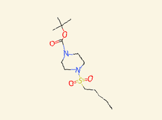 CCCCCS(=O)(=O)N1CCN(C(=O)OC(C)(C)C)CC1